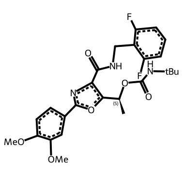 COc1ccc(-c2nc(C(=O)NCc3c(F)cccc3F)c([C@H](C)OC(=O)NC(C)(C)C)o2)cc1OC